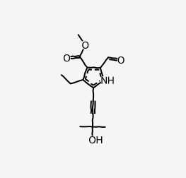 CCc1c(C#CC(C)(C)O)[nH]c(C=O)c1C(=O)OC